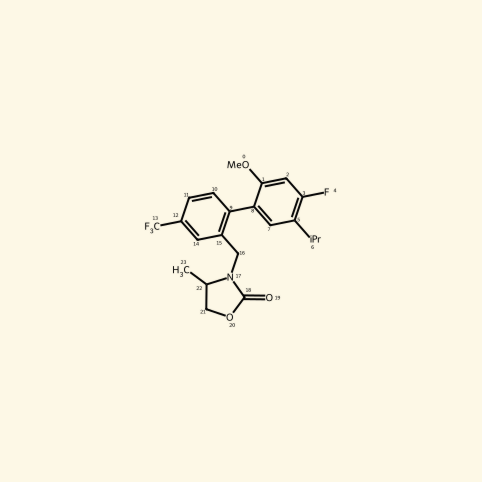 COc1cc(F)c(C(C)C)cc1-c1ccc(C(F)(F)F)cc1CN1C(=O)OCC1C